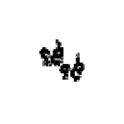 CC1(C)Oc2ccc(C#N)cc2[C@@H](n2ccccc2=O)[C@@H]1O.CC1(C)Oc2ccc(C#N)cc2[C@@H](n2ccccc2=O)[C@@H]1O